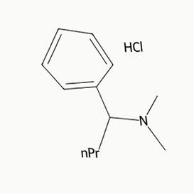 CCCC(c1ccccc1)N(C)C.Cl